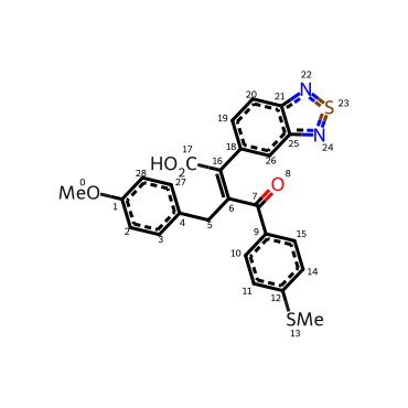 COc1ccc(CC(C(=O)c2ccc(SC)cc2)=C(C(=O)O)c2ccc3nsnc3c2)cc1